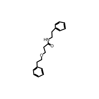 O=C(CCOCCc1ccccc1)NCCc1ccccc1